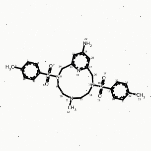 Cc1ccc(S(=O)(=O)N2CCN(C)CCN(S(=O)(=O)c3ccc(C)cc3)Cc3cc(N)cc(n3)C2)cc1